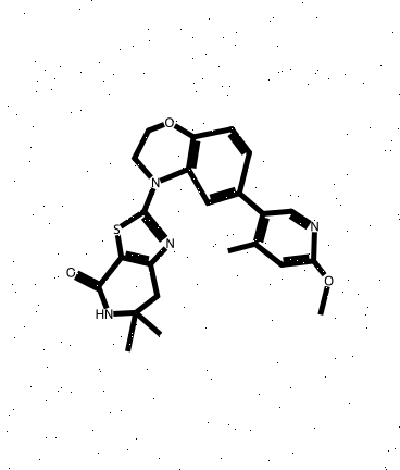 COc1cc(C)c(-c2ccc3c(c2)N(c2nc4c(s2)C(=O)NC(C)(C)C4)CCO3)cn1